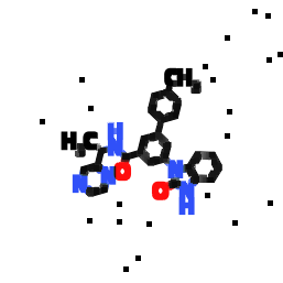 Cc1ccc(-c2cc(C(=O)N[C@@H](C)c3cnccn3)cc(-n3c(=O)[nH]c4ccccc43)c2)cc1